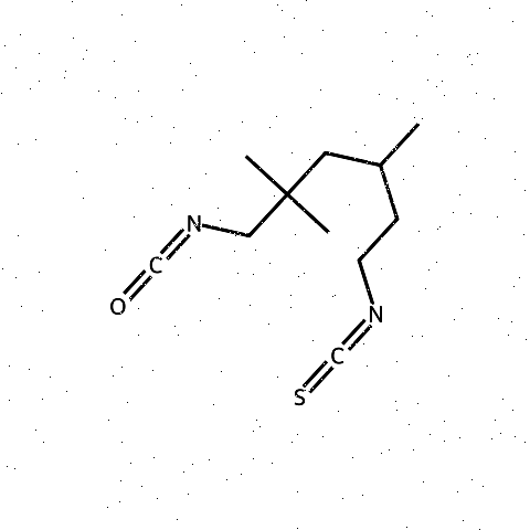 CC(CCN=C=S)CC(C)(C)CN=C=O